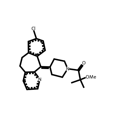 COC(C)(C)C(=O)N1CCC(=C2c3ccc(Cl)cc3CCc3cccnc32)CC1